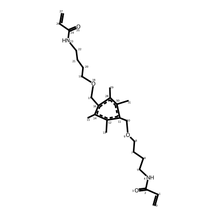 C=CC(=O)NCCCCOCc1c(C)c(C)c(COCCCCNC(=O)C=C)c(C)c1C